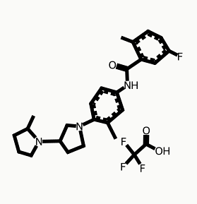 Cc1ccc(F)cc1C(=O)Nc1ccc(N2CCC(N3CCCC3C)C2)c(C)c1.O=C(O)C(F)(F)F